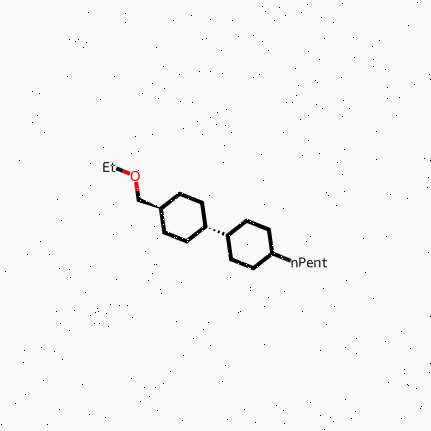 CCCCCC1CCC([C@H]2CC[C@H](COCC)CC2)CC1